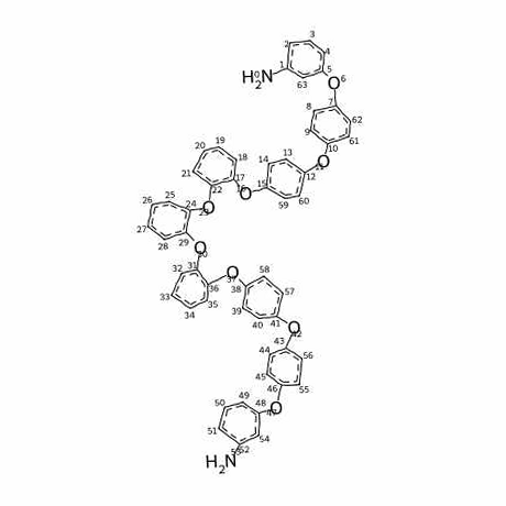 Nc1cccc(Oc2ccc(Oc3ccc(Oc4ccccc4Oc4ccccc4Oc4ccccc4Oc4ccc(Oc5ccc(Oc6cccc(N)c6)cc5)cc4)cc3)cc2)c1